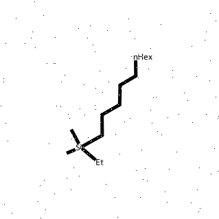 CCCCCCCCCCC[Si](C)(C)CC